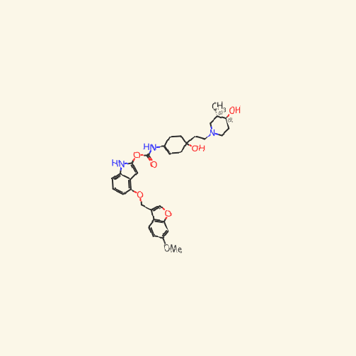 COc1ccc2c(COc3cccc4[nH]c(OC(=O)NC5CCC(O)(CCN6CC[C@H](O)[C@@H](C)C6)CC5)cc34)coc2c1